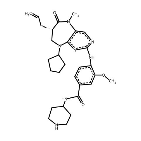 C=CC[C@H]1CN(C2CCCC2)c2nc(Nc3ccc(C(=O)NC4CCNCC4)cc3OC)ncc2N(C)C1=O